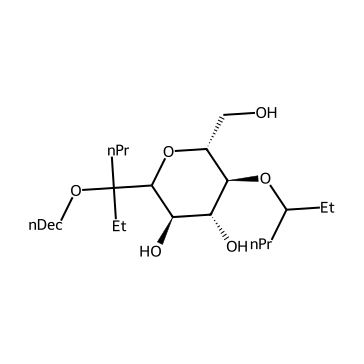 CCCCCCCCCCOC(CC)(CCC)C1O[C@H](CO)[C@@H](OC(CC)CCC)[C@H](O)[C@H]1O